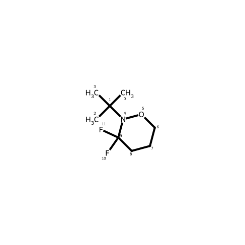 CC(C)(C)N1OCCCC1(F)F